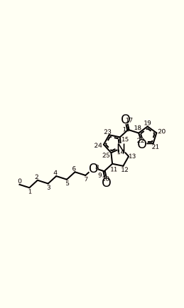 CCCCCCCCOC(=O)C1CCn2c(C(=O)c3ccco3)ccc21